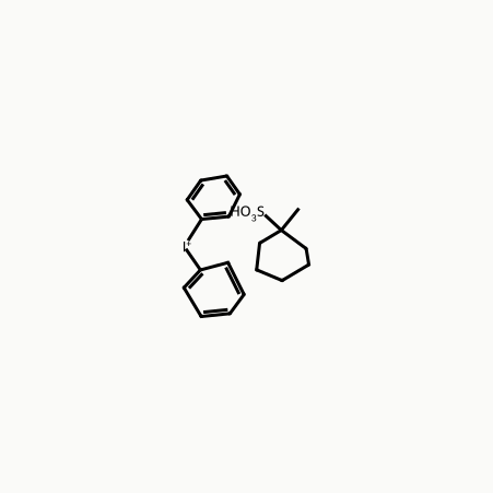 CC1(S(=O)(=O)O)CCCCC1.c1ccc([I+]c2ccccc2)cc1